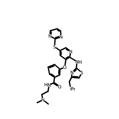 CC(C)Cc1csc(Nc2ncc(Sc3ncccn3)cc2Oc2cccc(C(=O)NCCN(C)C)c2)n1